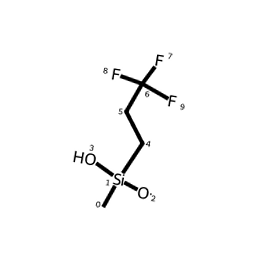 C[Si]([O])(O)CCC(F)(F)F